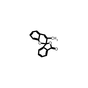 CC1=Cc2ccccc2OC12OC(=O)c1ccccc12